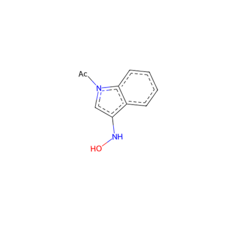 CC(=O)n1cc(NO)c2ccccc21